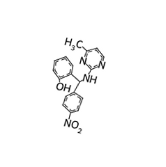 Cc1ccnc(NC(c2ccc([N+](=O)[O-])cc2)c2ccccc2O)n1